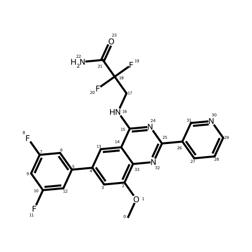 COc1cc(-c2cc(F)cc(F)c2)cc2c(NCC(F)(F)C(N)=O)nc(-c3cccnc3)nc12